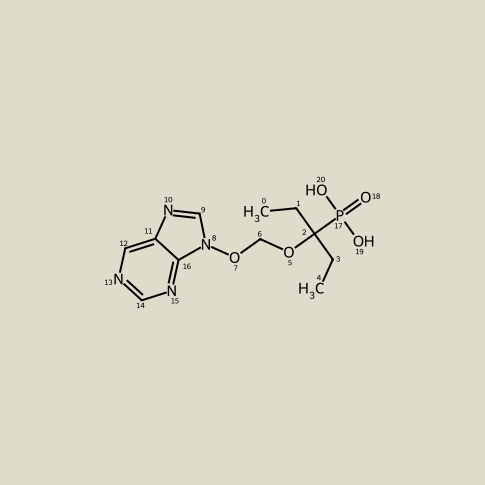 CCC(CC)(OCOn1cnc2cncnc21)P(=O)(O)O